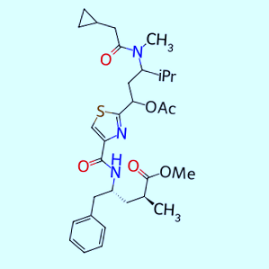 COC(=O)[C@@H](C)C[C@H](Cc1ccccc1)NC(=O)c1csc(C(CC(C(C)C)N(C)C(=O)CC2CC2)OC(C)=O)n1